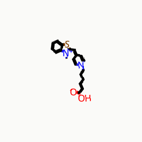 C[n+]1c(C=C2C=CN(CCCCCC(=O)O)C=C2)sc2ccccc21